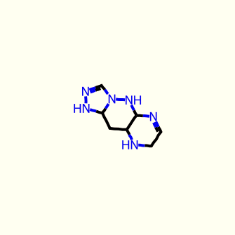 C1=NNC2CC3NCC=NC3NN12